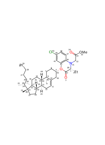 CC[C@H](C(=O)O[C@H]1CC[C@@]2(C)C(=CC[C@@H]3[C@@H]2CC[C@@]2(C)[C@H]3CC[C@]2(C)[C@H](C)CCCC(C)C)C1)N(CC(=O)OC)c1ccc(Cl)cc1